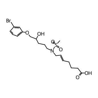 CS(=O)(=O)N(CC=CCCCC(=O)O)CCCC(O)COc1cccc(Br)c1